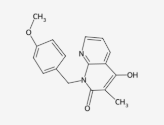 COc1ccc(Cn2c(=O)c(C)c(O)c3cccnc32)cc1